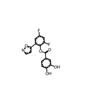 O=C(Oc1c(F)cc(F)cc1-c1ccno1)c1ccc(O)c(O)c1